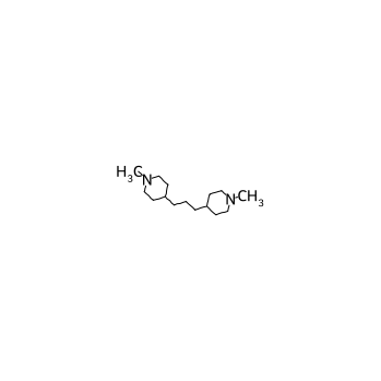 CN1CCC(CCCC2CCN(C)CC2)CC1